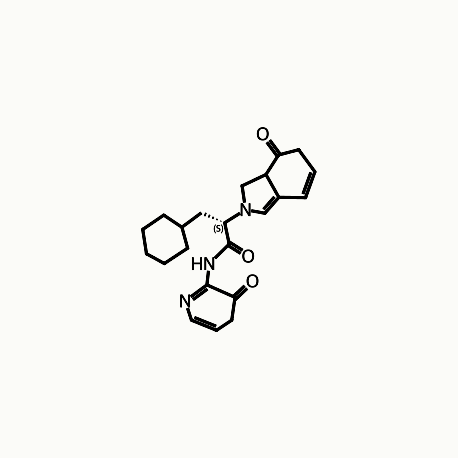 O=C1CC=CN=C1NC(=O)[C@H](CC1CCCCC1)N1C=C2C=CCC(=O)C2C1